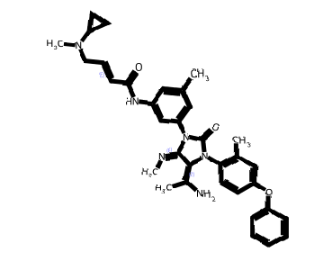 C/N=C1\C(=C(/C)N)N(c2ccc(Oc3ccccc3)cc2C)C(=O)N1c1cc(C)cc(NC(=O)/C=C/CN(C)C2CC2)c1